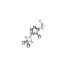 C/C=C\n1nnn(C2CS(=O)(=O)C2)c1=O